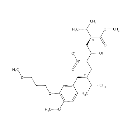 COCCCOc1cc(C[C@@H](CC(C(O)C[C@H](C(=O)OC)C(C)C)[N+](=O)[O-])C(C)C)ccc1OC